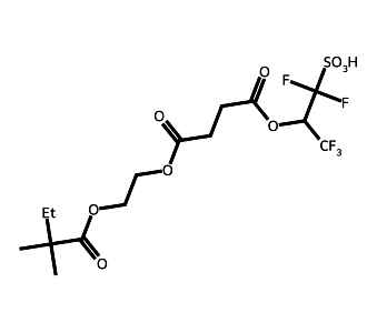 CCC(C)(C)C(=O)OCCOC(=O)CCC(=O)OC(C(F)(F)F)C(F)(F)S(=O)(=O)O